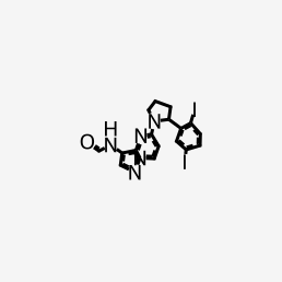 O=CNc1cnn2ccc(N3CCCC3c3cc(I)ccc3I)nc12